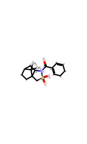 CC1(C)C2CCC13CS(=O)(=O)N(C(=O)C1=CCCC=C1)C3C2